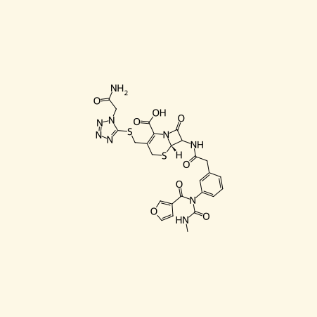 CNC(=O)N(C(=O)c1ccoc1)c1cccc(CC(=O)NC2C(=O)N3C(C(=O)O)=C(CSc4nnnn4CC(N)=O)CS[C@@H]23)c1